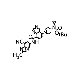 Cc1cn2cc(NC(=O)c3ccc(N4CCC(N(C(=O)OC(C)(C)C)C5CC5)CC4)c4cncnc34)cc(C#N)c2n1